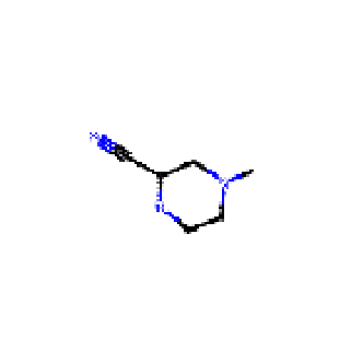 CN1CC[N]C(C#N)C1